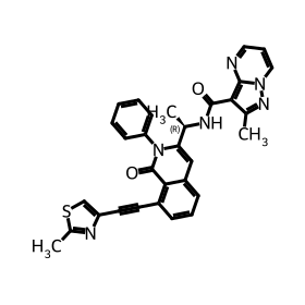 Cc1nc(C#Cc2cccc3cc([C@@H](C)NC(=O)c4c(C)nn5cccnc45)n(-c4ccccc4)c(=O)c23)cs1